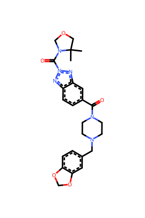 CC1(C)COCN1C(=O)n1nc2ccc(C(=O)N3CCN(Cc4ccc5c(c4)OCO5)CC3)cc2n1